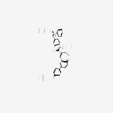 Cc1ccc(-c2ccc3c(c2)C=C(C(=O)Nc2ccc(CN(C)c4ccccc4)cc2)CCO3)cc1